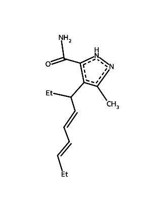 CC/C=C/C=C/C(CC)c1c(C)n[nH]c1C(N)=O